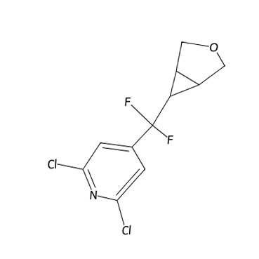 FC(F)(c1cc(Cl)nc(Cl)c1)C1C2COCC21